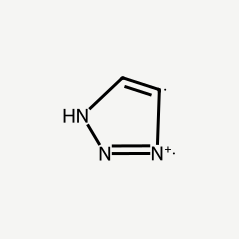 [C]1=CNN=[N+]1